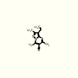 CCc1c(C)nn2c(N)c(C#N)c(C)nc12